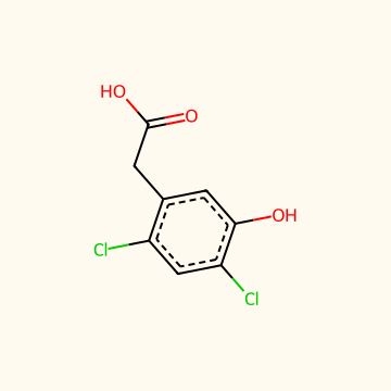 O=C(O)Cc1cc(O)c(Cl)cc1Cl